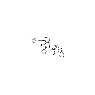 C[C@H](NC(=O)c1c(N)nn2cnccc12)c1cc2cccc(C#Cc3ccn(C)n3)c2c(=O)n1-c1ccccc1